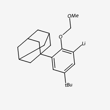 [Li][c]1cc(C(C)(C)C)cc(C23CC4CC(CC(C4)C2)C3)c1OCOC